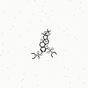 CCN(CC)S(=O)(=O)Oc1cc2c(c(OS(=O)(=O)N(CC)CC)c1)[C@H]1CC[C@@]3(C)[C@@H](C[C@@H]4OC(C)(C)O[C@@H]43)[C@H]1CC2